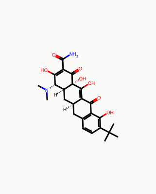 CN(C)[C@@H]1C(O)=C(C(N)=O)C(=O)[C@@]2(O)C(O)=C3C(=O)c4c(ccc(C(C)(C)C)c4O)C[C@H]3C[C@@H]12